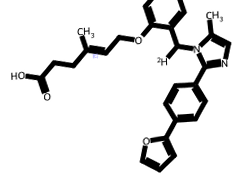 [2H]C(c1ccccc1OC/C=C(\C)CCC(=O)O)n1c(C)cnc1-c1ccc(-c2ccco2)cc1